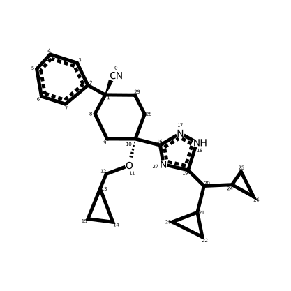 N#C[C@]1(c2ccccc2)CC[C@](OCC2CC2)(c2n[nH]c(C(C3CC3)C3CC3)n2)CC1